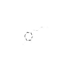 CCCCCCCCCCCCOc1cc(O)c(C(C)(C)C)cc1C(C)(C)C